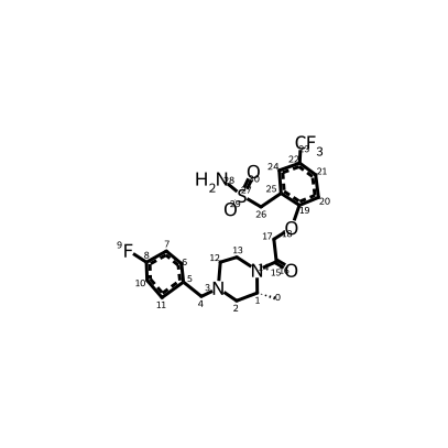 C[C@@H]1CN(Cc2ccc(F)cc2)CCN1C(=O)COc1ccc(C(F)(F)F)cc1CS(N)(=O)=O